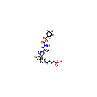 O=C(O)CCC/C=C\C[C@H]1[C@H]2CC[C@H](C2)[C@H]1CNC(=O)CNC(=O)OCc1ccccc1